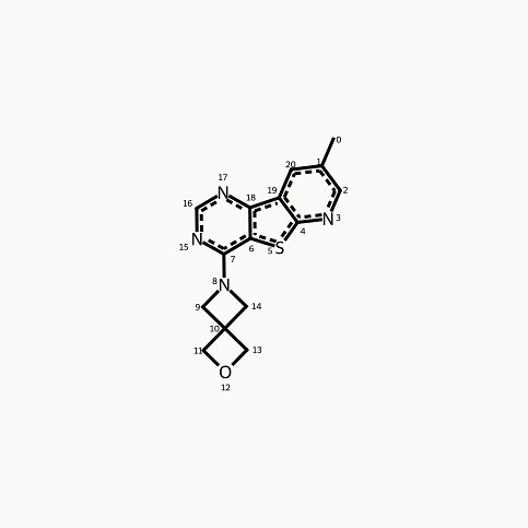 Cc1cnc2sc3c(N4CC5(COC5)C4)ncnc3c2c1